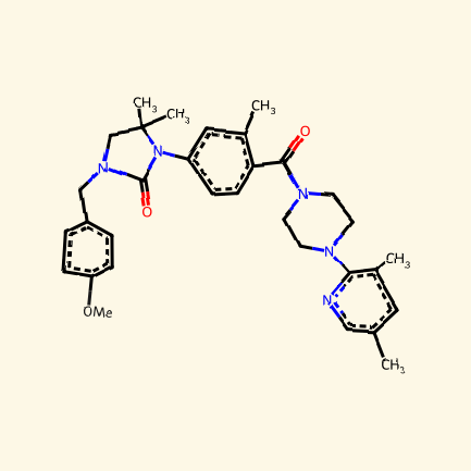 COc1ccc(CN2CC(C)(C)N(c3ccc(C(=O)N4CCN(c5ncc(C)cc5C)CC4)c(C)c3)C2=O)cc1